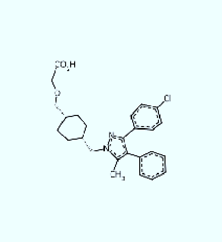 Cc1c(-c2ccccc2)c(-c2ccc(Cl)cc2)nn1C[C@H]1CC[C@@H](COCC(=O)O)CC1